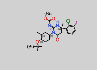 C[C@H]1C[C@@H](N2C(=O)C[C@@](C)(c3cccc(I)c3Cl)N/C2=N\C(=O)OC(C)(C)C)CC[C@H]1O[Si](C)(C)C(C)(C)C